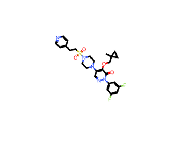 CC1(COc2c(N3CCN(S(=O)(=O)CCc4ccncc4)CC3)cnn(-c3cc(F)cc(F)c3)c2=O)CC1